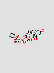 COC1(CCS(=O)(=O)c2ccccc2)OCC(=O)[C@]2(CC[C@H]3[C@@H]4CCC5=CC(=O)CC[C@]5(C)[C@H]4[C@@H](O)C[C@@]32C)O1